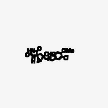 COc1cc2c(cc1Cl)CN(CC(C)(C=O)CC1(C3CC3)NC(=O)NC1=O)C2